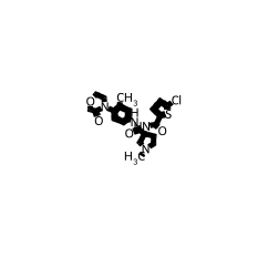 Cc1cc(NC(=O)C2(NC(=O)c3ccc(Cl)s3)CCN(C)C2)ccc1N1CCOCC1=O